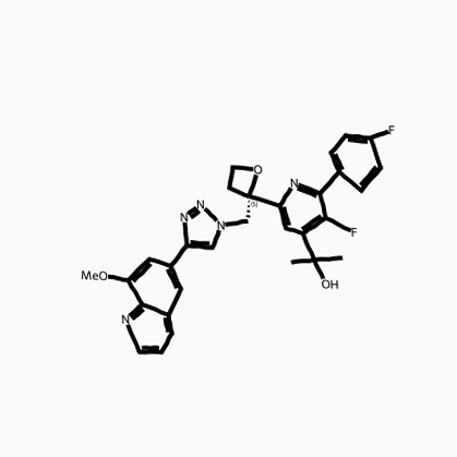 COc1cc(-c2cn(C[C@]3(c4cc(C(C)(C)O)c(F)c(-c5ccc(F)cc5)n4)CCO3)nn2)cc2cccnc12